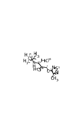 Cc1nsnc1OCC(O)CNC(C)(C)C.Cl